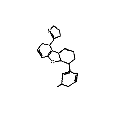 IC1C=C(C2CCCC3C4=C(C=CCC4C4=NCCC4)OC23)C=CC1